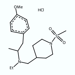 CCN(CC1CCN(S(C)(=O)=O)CC1)C(C)Cc1ccc(OC)cc1.Cl